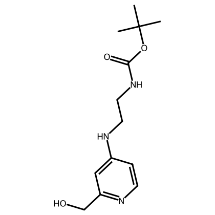 CC(C)(C)OC(=O)NCCNc1ccnc(CO)c1